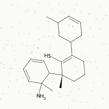 CC1C=CCC(C2=C(S)[C@@](C)(C3C=CC=CC3(C)N)CCC2)C1